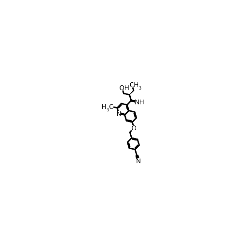 CC[C@H](CO)C(=N)c1cc(C)nc2cc(OCc3ccc(C#N)cc3)ccc12